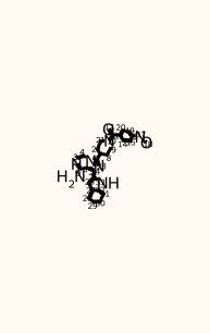 Nc1nccn2c(C3CCN(C(=O)c4ccc(N=O)cc4)CC3)nc(-c3cc4ccccc4[nH]3)c12